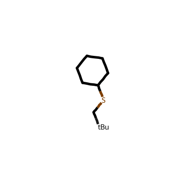 CC(C)(C)CSC1CCCCC1